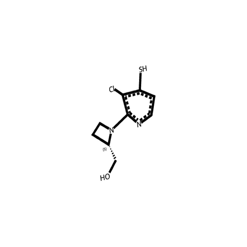 OC[C@@H]1CCN1c1nccc(S)c1Cl